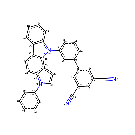 N#Cc1cc(C#N)cc(-c2cccc(-n3c4ccccc4c4ccc5c(ccn5-c5ccccc5)c43)c2)c1